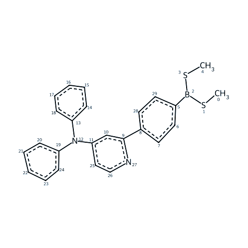 CSB(SC)c1ccc(-c2cc(N(c3ccccc3)c3ccccc3)ccn2)cc1